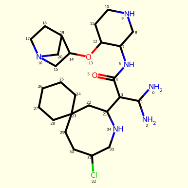 NC(N)C(C(=O)NC1CNCCC1OC1CN2CCC1C2)C1CC2(CCCCC2)CCC(Cl)CN1